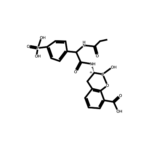 CCC(=O)NC(C(=O)N[C@H]1Cc2cccc(C(=O)O)c2OB1O)c1ccc(P(=O)(O)O)cc1